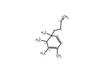 C=BCCC1(C)C=CC(C)=C(C)C1C